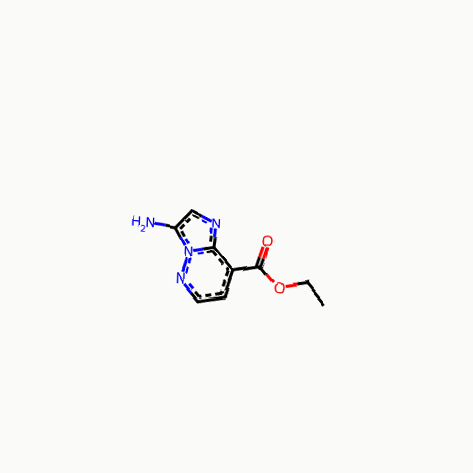 CCOC(=O)c1ccnn2c(N)cnc12